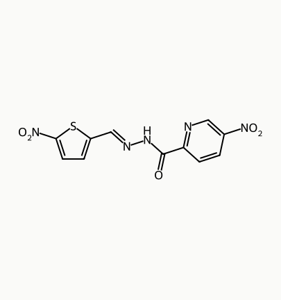 O=C(NN=Cc1ccc([N+](=O)[O-])s1)c1ccc([N+](=O)[O-])cn1